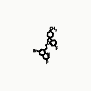 CN1CCC(COCCc2cc(Br)cc3cc(F)cnc23)(c2ccc(F)cc2)CC1